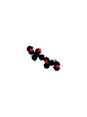 c1ccc2cc(-c3c4ccccc4c(-c4ccc(-c5ccc6c(c5)c5ccccc5c5cc7c(cc65)oc5ccc6ccccc6c57)cc4)c4ccccc34)ccc2c1